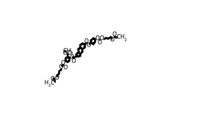 C=CC(=O)OCCCCOC(=O)Oc1ccc(OC(=O)c2ccc3cc4cc(C(=O)Oc5ccc(OC(=O)OCCCCOC(=O)C=C)cc5C(=O)OC)ccc4cc3c2)cc1